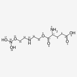 NC(CCC(=O)O)C(=O)OCCNCCON(O)O